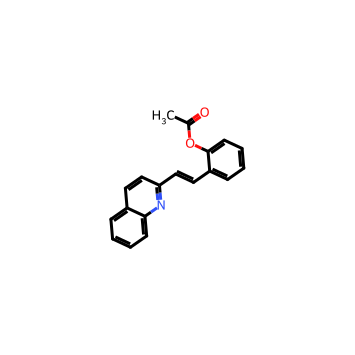 CC(=O)Oc1ccccc1C=Cc1ccc2ccccc2n1